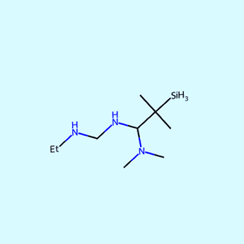 CCNCNC(N(C)C)C(C)(C)[SiH3]